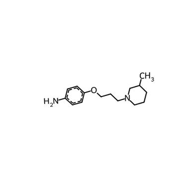 CC1CCCN(CCCOc2ccc(N)cc2)C1